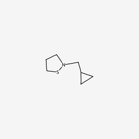 C1CSN(CC2CC2)C1